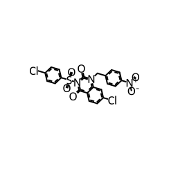 O=c1c2ccc(Cl)cc2n(Cc2ccc([N+](=O)[O-])cc2)c(=O)n1S(=O)(=O)c1ccc(Cl)cc1